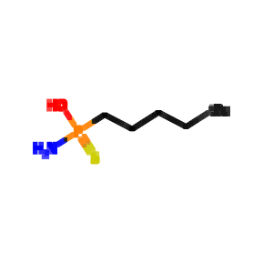 CC(C)(C)CCCCP(N)(O)=S